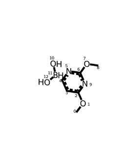 COc1ccnc(OC)n1.OBO